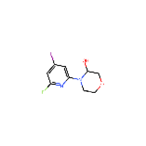 OC1COCCN1c1cc(I)cc(F)n1